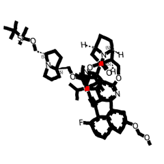 COCOc1cc(-c2nc3c4c(nc(OC[C@@]56CCCN5[C@H](CO[Si](C)(C)C(C)(C)C)CC6)nc4c2F)N2C[C@H]4CC[C@@H]([C@H]2CO3)N4C(=O)OC(C)(C)C)c2c(C#C[Si](C(C)C)(C(C)C)C(C)C)c(F)ccc2c1